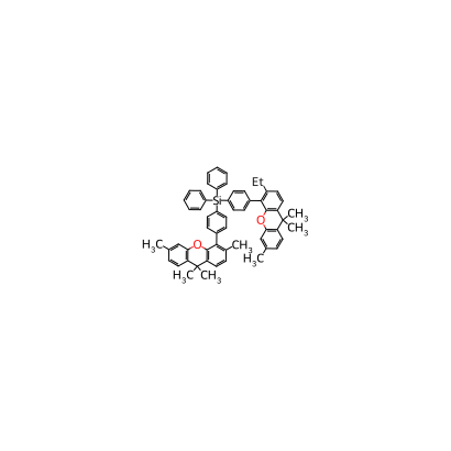 CCc1ccc2c(c1-c1ccc([Si](c3ccccc3)(c3ccccc3)c3ccc(-c4c(C)ccc5c4Oc4cc(C)ccc4C5(C)C)cc3)cc1)Oc1cc(C)ccc1C2(C)C